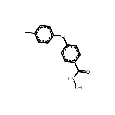 Cc1ccc(Oc2ccc(C(=O)NO)cc2)cc1